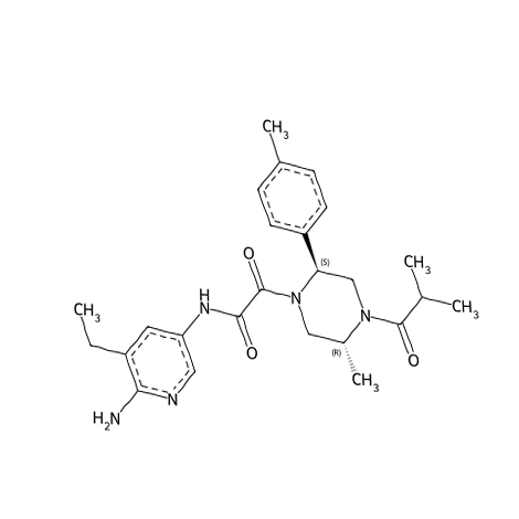 CCc1cc(NC(=O)C(=O)N2C[C@@H](C)N(C(=O)C(C)C)C[C@@H]2c2ccc(C)cc2)cnc1N